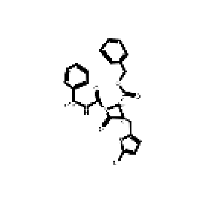 C[C@@H](NC(=O)N1C(=O)[C@H](Cc2ccc(Cl)s2)[C@H]1C(=O)OCc1ccccc1)c1ccccc1